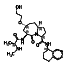 CN[C@@H](C)C(=O)N[C@H]1C[C@H](OCCO)CC[C@H]2CC[C@@H](C(=O)N[C@@H]3CCCc4ccccc43)N2C1=O